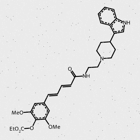 CCOC(=O)Oc1c(OC)cc(C=CC=CC(=O)NCCN2CCC(c3c[nH]c4ccccc34)CC2)cc1OC